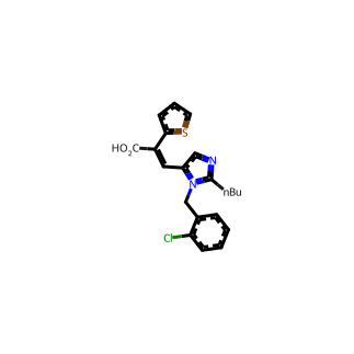 CCCCc1ncc(C=C(C(=O)O)c2cccs2)n1Cc1ccccc1Cl